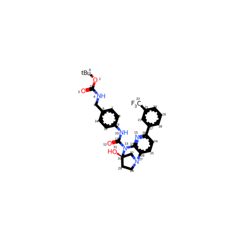 CC(C)(C)OC(=O)NCc1ccc(NC(=O)N2c3nc(-c4cccc(C(F)(F)F)c4)ccc3N3CC[C@@]2(O)C3)cc1